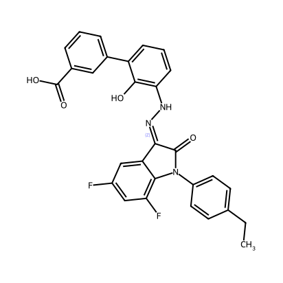 CCc1ccc(N2C(=O)/C(=N\Nc3cccc(-c4cccc(C(=O)O)c4)c3O)c3cc(F)cc(F)c32)cc1